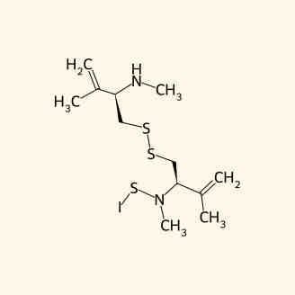 C=C(C)[C@H](CSSC[C@@H](C(=C)C)N(C)SI)NC